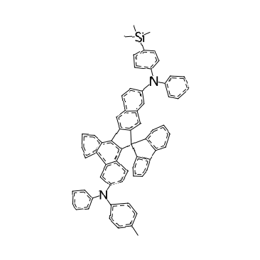 Cc1ccc(N(c2ccccc2)c2ccc3c4c(c5ccccc5c3c2)-c2cc3ccc(N(c5ccccc5)c5ccc([Si](C)(C)C)cc5)cc3cc2C42c3ccccc3-c3ccccc32)cc1